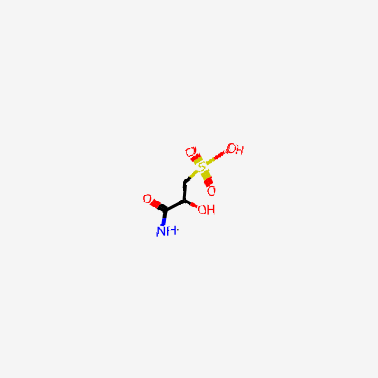 [NH]C(=O)C(O)CS(=O)(=O)O